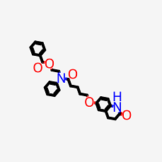 O=C1CCc2cc(OCCCCC(=O)N(CCOC(=O)c3ccccc3)c3ccccc3)ccc2N1